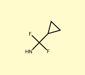 [NH]C(F)(F)C1CC1